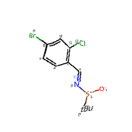 CC(C)(C)[S+]([O-])/N=C/c1ccc(Br)cc1Cl